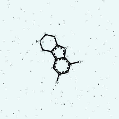 Clc1cc(Br)cc2c3c(oc12)CCNC3